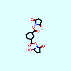 O=C(ON1C(=O)CCC1=O)C1CCCC(C(=O)ON2C(=O)CCC2O)C1